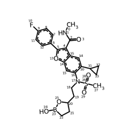 CNC(=O)c1c(-c2ccc(F)cc2)oc2cc(N(CCC3CCB(O)O3)S(C)(=O)=O)c(C3CC3)cc12